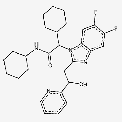 O=C(NC1CCCCC1)C(C1CCCCC1)n1c(CC(O)c2ccccn2)nc2cc(F)c(F)cc21